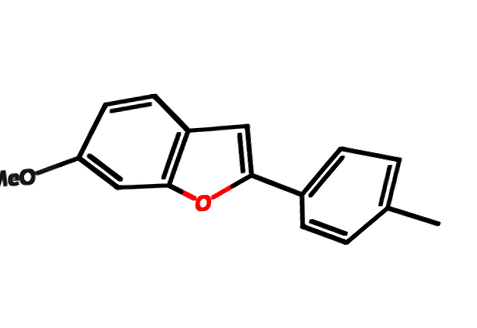 COc1ccc2cc(-c3ccc(C)cc3)oc2c1